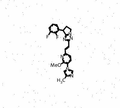 COc1nc(C=Cc2nc3n(n2)CCC3c2cccc(F)c2F)ccc1-n1cnc(C)c1